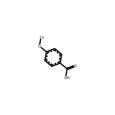 O=C(O)c1ccc([O][Co])cc1